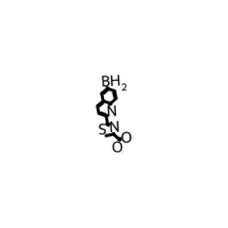 Bc1ccc2nc(C3=NC(C(=O)OC)CS3)ccc2c1